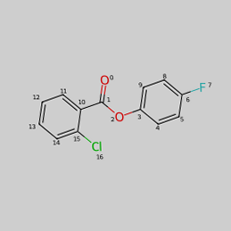 O=C(Oc1ccc(F)cc1)c1ccccc1Cl